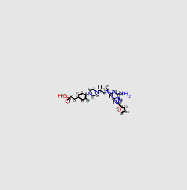 CN(CCN1CCN(c2ccc(CCC(=O)O)cc2F)CC1)c1nc(N)n2nc(-c3ccco3)nc2n1